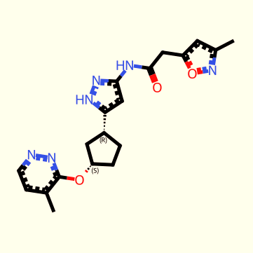 Cc1cc(CC(=O)Nc2cc([C@@H]3CC[C@H](Oc4nnccc4C)C3)[nH]n2)on1